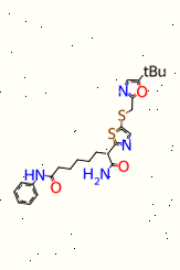 CC(C)(C)c1cnc(CSc2cnc(C(CCCCCC(=O)Nc3ccccc3)C(N)=O)s2)o1